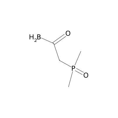 BC(=O)CP(C)(C)=O